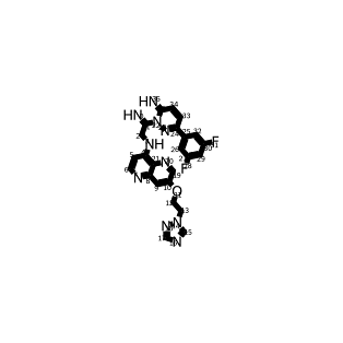 N=C(CNc1ccnc2cc(OCCn3cncn3)cnc12)n1nc(-c2cc(F)cc(F)c2)ccc1=N